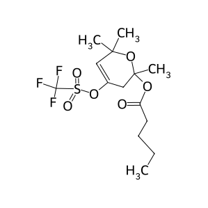 CCCCC(=O)OC1(C)CC(OS(=O)(=O)C(F)(F)F)=CC(C)(C)O1